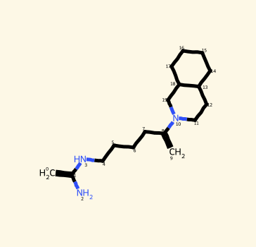 C=C(N)NCCCCC(=C)N1CCC2CCCCC2C1